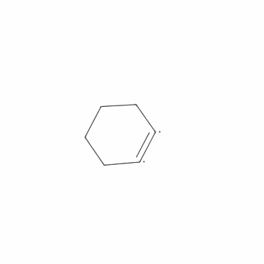 [C]1=[C]CCCC1